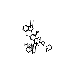 Cc1cccc2c(-c3c(F)cc4c(N5C[C@H]6CC[C@@H](C5)N6)nc(OC[C@@H]5CCCN5C)nc4c3F)c[nH]c12